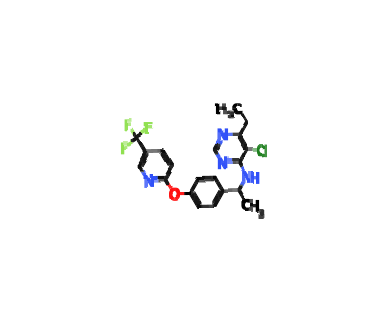 CCc1ncnc(NC(C)c2ccc(Oc3ccc(C(F)(F)F)cn3)cc2)c1Cl